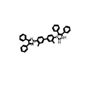 Cc1cc(-c2ccc(-n3nc(-c4ccccc4)c(-c4ccccc4)n3)c(C)c2)ccc1N1NNC(c2ccccc2)=C1c1ccccc1